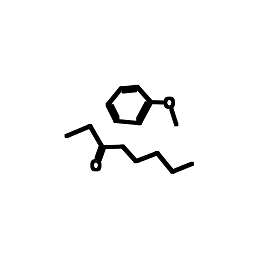 CCCCCC(=O)CC.COc1ccccc1